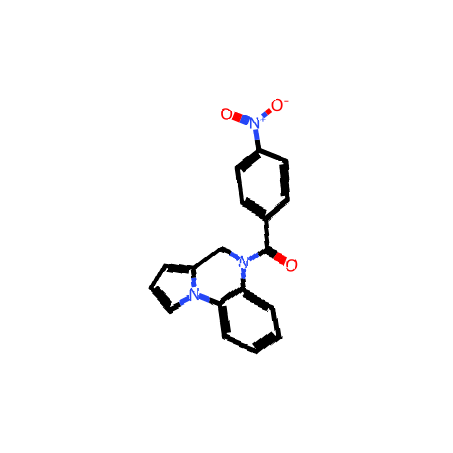 O=C(c1ccc([N+](=O)[O-])cc1)N1Cc2cccn2-c2ccccc21